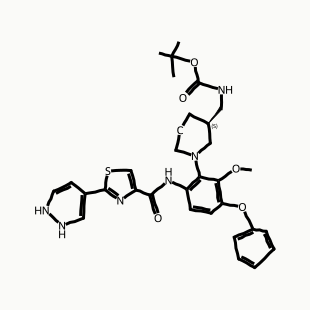 COc1c(Oc2ccccc2)ccc(NC(=O)c2csc(C3=CNNC=C3)n2)c1N1CCC[C@@H](CNC(=O)OC(C)(C)C)C1